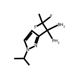 BC(P)(c1ccn(C(C)C)n1)C(C)(F)F